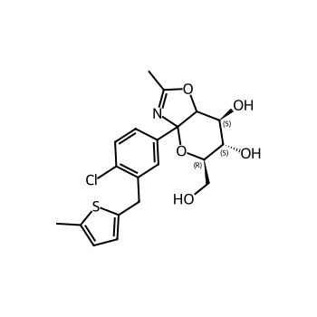 CC1=NC2(c3ccc(Cl)c(Cc4ccc(C)s4)c3)O[C@H](CO)[C@@H](O)[C@H](O)C2O1